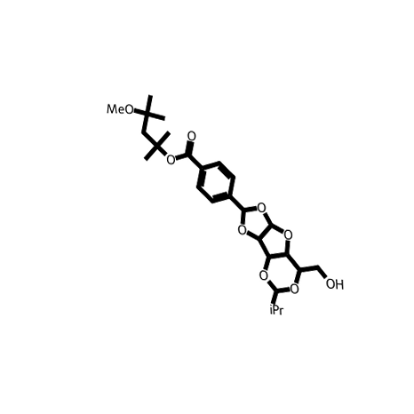 COC(C)(C)CC(C)(C)OC(=O)c1ccc(C2OC3OC4C(CO)OC(C(C)C)OC4C3O2)cc1